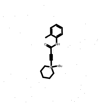 CCCC[Si]1(C#CC(=O)Nc2ccccc2C)CCCCC1